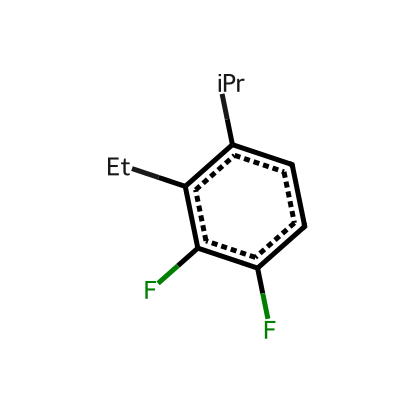 CCc1c(C(C)C)ccc(F)c1F